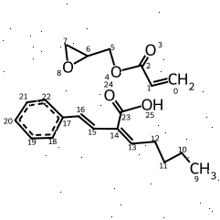 C=CC(=O)OCC1CO1.CCCCC=C(C=Cc1ccccc1)C(=O)O